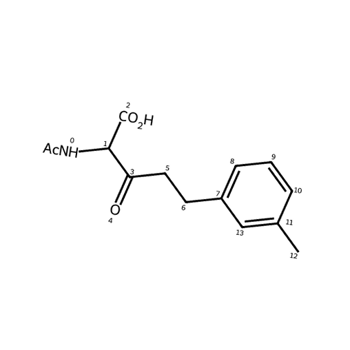 CC(=O)NC(C(=O)O)C(=O)CCc1cccc(C)c1